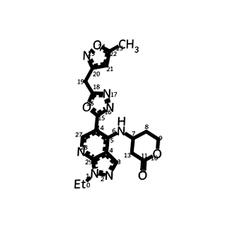 CCn1ncc2c(NC3CCOC(=O)C3)c(-c3nnc(Cc4cc(C)on4)o3)cnc21